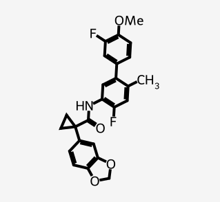 COc1ccc(-c2cc(NC(=O)C3(c4ccc5c(c4)OCO5)CC3)c(F)cc2C)cc1F